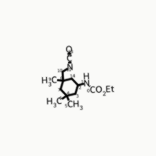 CCOC(=O)NC1CC(C)(C)CC(C)(CN=C=O)C1